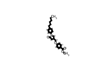 CCCCCCc1ccc(N2CC(COc3ccc(C(=O)OC)cc3)CC2=O)cc1